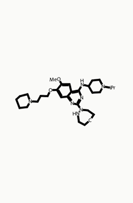 COc1cc2c(NC3CCN(C(C)C)CC3)nc(N3CCCCCN3)nc2cc1OCCCN1CCCCC1